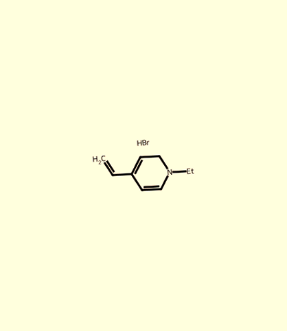 Br.C=CC1=CCN(CC)C=C1